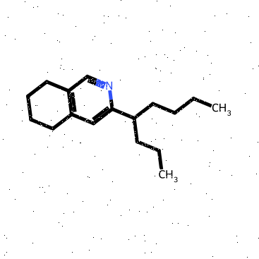 CCCCC(CCC)c1cc2c(cn1)CCCC2